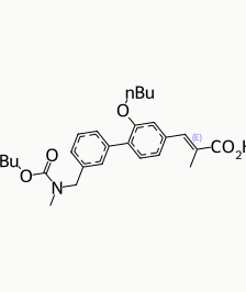 CCCCOc1cc(/C=C(\C)C(=O)O)ccc1-c1cccc(CN(C)C(=O)OC(C)(C)C)c1